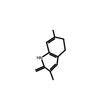 C=C1NC2=C(C=C1C)CCC(C)=C2